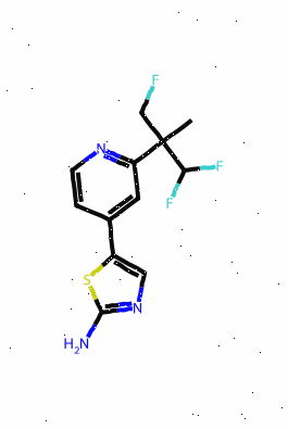 CC(CF)(c1cc(-c2cnc(N)s2)ccn1)C(F)F